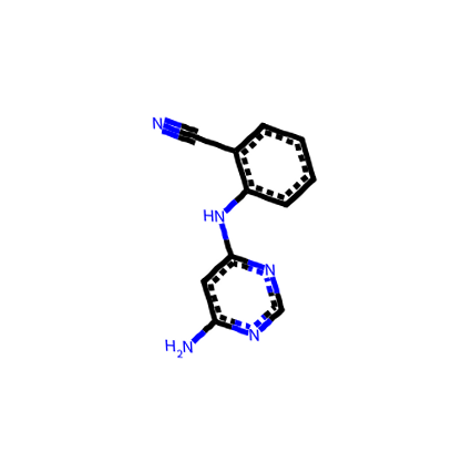 N#Cc1ccccc1Nc1cc(N)ncn1